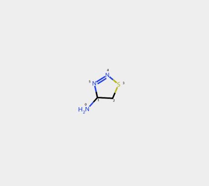 NC1CSN=N1